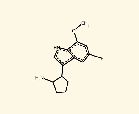 COc1cc(F)cc2c(C3CCCC3N)c[nH]c12